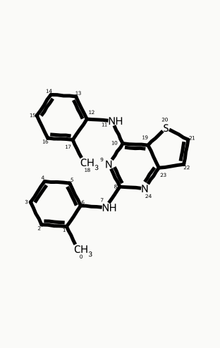 Cc1ccccc1Nc1nc(Nc2ccccc2C)c2sccc2n1